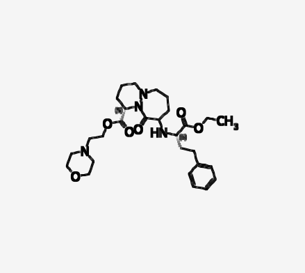 CCOC(=O)[C@H](CCc1ccccc1)NC1CCCN2CCC[C@@H](C(=O)OCCN3CCOCC3)N2C1=O